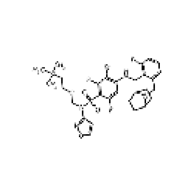 C[Si](C)(C)CCOCN(c1ccon1)S(=O)(=O)c1c(F)cc(NCc2c(F)cccc2CN2C3CCC2CC3)c(Br)c1F